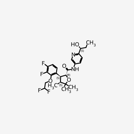 CC[C@H](O)c1ccc(NC(=O)[C@@H]2OC(C)(C)[C@@H](C)[C@H]2c2ccc(F)c(F)c2OCC(F)F)cn1